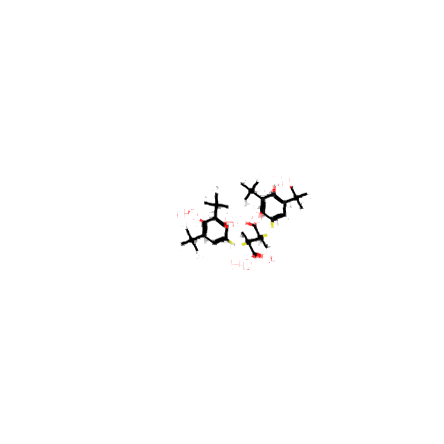 CC(C)(C)c1cc(SC(C)(C(=O)O)C(C)(Sc2cc(C(C)(C)C)c(O)c(C(C)(C)C)c2)C(=O)O)cc(C(C)(C)C)c1O